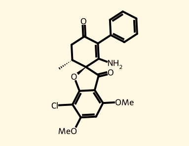 COc1cc(OC)c2c(c1Cl)O[C@]1(C2=O)C(N)=C(c2ccccc2)C(=O)C[C@H]1C